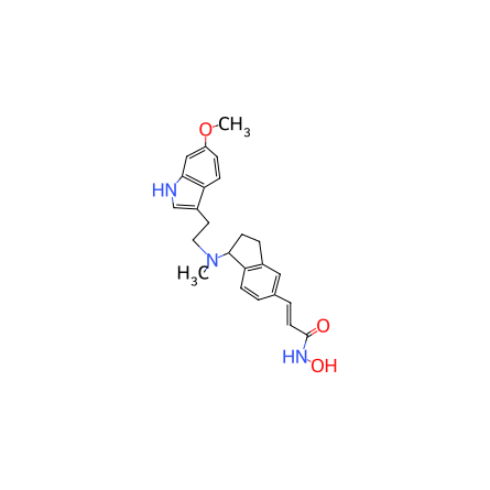 COc1ccc2c(CCN(C)C3CCc4cc(C=CC(=O)NO)ccc43)c[nH]c2c1